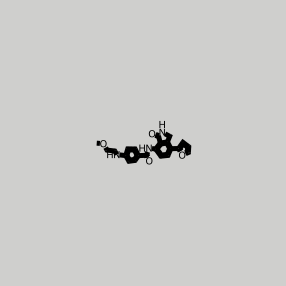 COCCNc1ccc(C(=O)Nc2ccc(-c3ccco3)c3c2C(=O)NC3)cc1